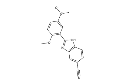 COc1ccc([S+](C)[O-])cc1-c1nc2cc(C#N)ccc2[nH]1